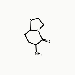 NC1CCC2SCCN2C1=O